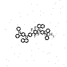 CC12C=CC=CC1c1cc(N(c3c(F)c(F)c(-c4ccc(N(c5ccc6c(c5)c5ccccc5n6-c5ccccc5)c5cccc6ccccc56)cc4)c(F)c3F)c3cccc4ccccc34)ccc1N2c1ccccc1